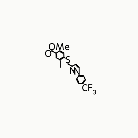 COC(=O)c1ccc(SCc2ccn(-c3ccc(C(F)(F)F)cc3)n2)c(I)c1